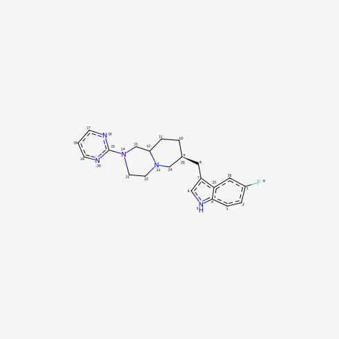 Fc1ccc2[nH]cc(C[C@@H]3CCC4CN(c5ncccn5)CCN4C3)c2c1